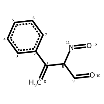 C=C(c1ccccc1)C(C=O)N=O